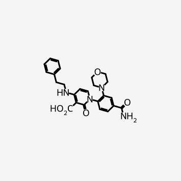 NC(=O)c1ccc(-n2ccc(NCCc3ccccc3)c(C(=O)O)c2=O)c(N2CCOCC2)c1